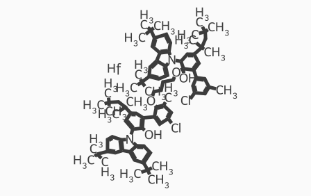 Cc1cc(Cl)cc(C2=CC(C(C)(C)CC(C)(C)C)=CC(n3c4ccc(C(C)(C)C)cc4c4cc(C(C)(C)C)ccc43)C2(O)OCCCCOc2c(C)cc(Cl)cc2-c2cc(C(C)(C)CC(C)(C)C)cc(-n3c4ccc(C(C)(C)C)cc4c4cc(C(C)(C)C)ccc43)c2O)c1.[Hf]